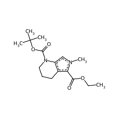 CCOC(=O)c1c2c(cn1C)N(C(=O)OC(C)(C)C)CCC2